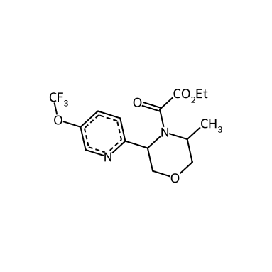 CCOC(=O)C(=O)N1C(C)COCC1c1ccc(OC(F)(F)F)cn1